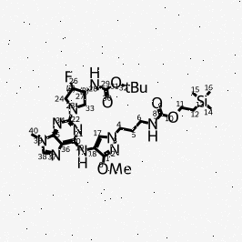 COc1nn(CCCNC(=O)OCC[Si](C)(C)C)cc1Nc1nc(N2C[C@@H](F)[C@H](NC(=O)OC(C)(C)C)C2)nc2c1ncn2C